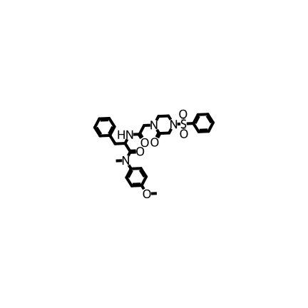 COc1ccc(N(C)C(=O)C(Cc2ccccc2)NC(=O)CN2CCN(S(=O)(=O)c3ccccc3)CC2=O)cc1